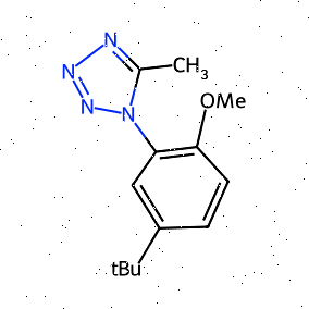 COc1ccc(C(C)(C)C)cc1-n1nnnc1C